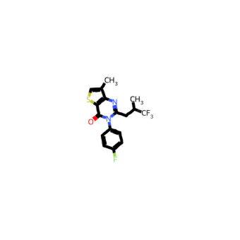 Cc1csc2c(=O)n(-c3ccc(F)cc3)c(CC(C)C(F)(F)F)nc12